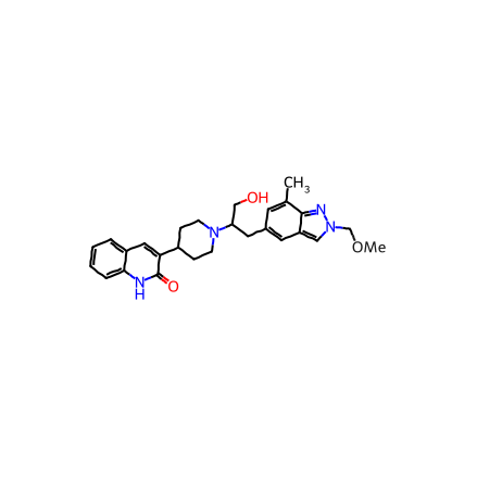 COCn1cc2cc(CC(CO)N3CCC(c4cc5ccccc5[nH]c4=O)CC3)cc(C)c2n1